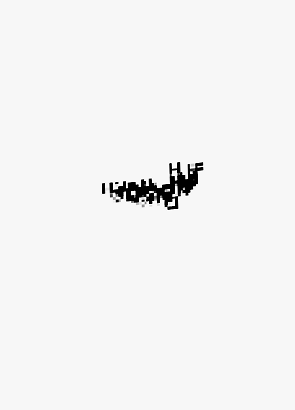 CC1(C)C[C@@](O)(c2ncc(-c3cc(Cl)cc(Nc4nccc(C(F)(F)F)n4)c3)s2)CC[C@@H]1C(=O)O